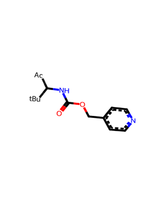 CC(=O)C(NC(=O)OCc1ccncc1)C(C)(C)C